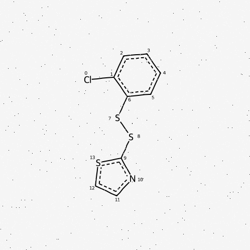 Clc1ccccc1SSc1nccs1